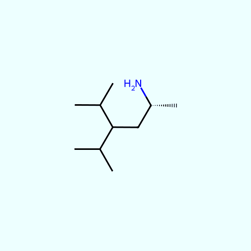 CC(C)C(C[C@@H](C)N)C(C)C